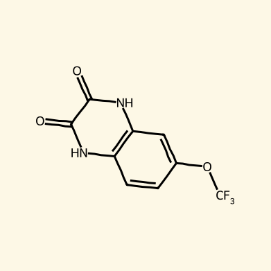 O=c1[nH]c2ccc(OC(F)(F)F)cc2[nH]c1=O